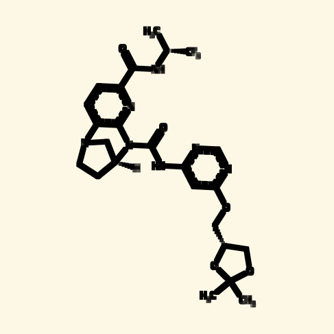 C[C@@H](NC(=O)c1ccc2c(n1)N(C(=O)Nc1cc(OC[C@@H]3COC(C)(C)O3)ncn1)[C@H]1CCN2C1)C(F)(F)F